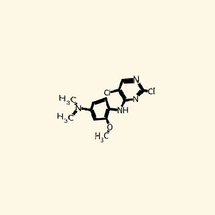 COc1cc(N(C)C)ccc1Nc1nc(Cl)ncc1Cl